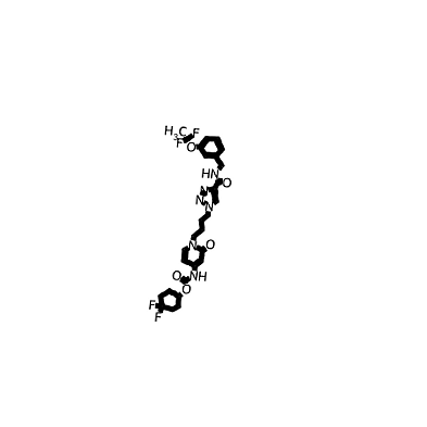 CC(F)(F)Oc1cccc(CNC(=O)c2cn(CCCCn3ccc(NC(=O)OC4CCC(F)(F)CC4)cc3=O)nn2)c1